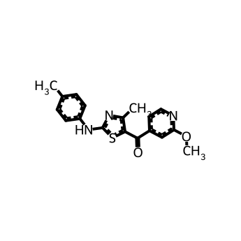 COc1cc(C(=O)c2sc(Nc3ccc(C)cc3)nc2C)ccn1